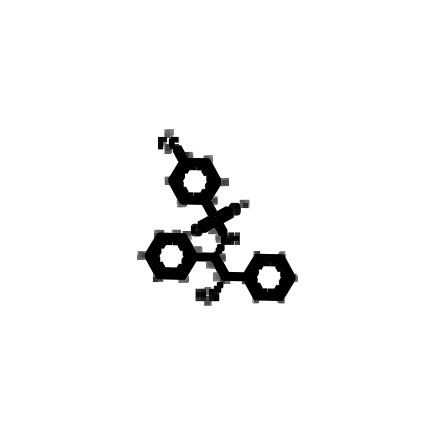 N[C@@H](c1ccccc1)[C@@H](NS(=O)(=O)c1ccc(C(F)(F)F)cc1)c1ccccc1